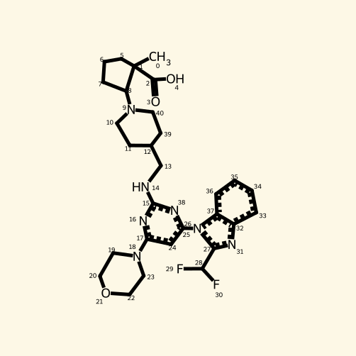 CC1(C(=O)O)CCCC1N1CCC(CNc2nc(N3CCOCC3)cc(-n3c(C(F)F)nc4ccccc43)n2)CC1